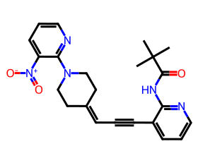 CC(C)(C)C(=O)Nc1ncccc1C#CC=C1CCN(c2ncccc2[N+](=O)[O-])CC1